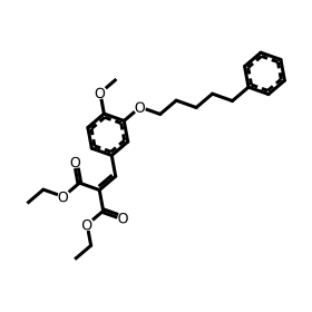 CCOC(=O)C(=Cc1ccc(OC)c(OCCCCCc2ccccc2)c1)C(=O)OCC